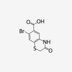 O=C1CSc2cc(Br)c(C(=O)O)cc2N1